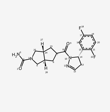 NC(=O)N1C[C@H]2CC(C(=O)N3N=CC[C@H]3c3cc(F)ccc3F)C[C@H]2C1